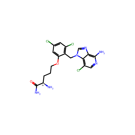 NC(=O)[C@H](N)CCCOc1cc(Cl)cc(Cl)c1Cn1cnc2c(N)ncc(Cl)c21